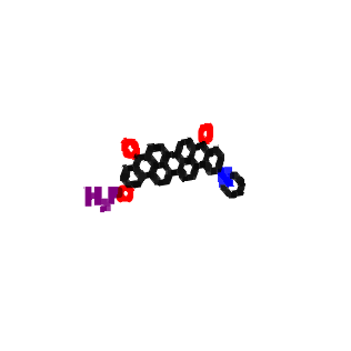 O=C1c2ccc(OP)cc2-c2ccc3c4ccc5c6c(ccc(c7ccc1c2c73)c64)C(=O)c1ccc(N2CCCCC2)cc1-5